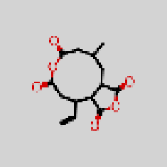 C=CC1CC(=O)OC(=O)CC(C)CC2C(=O)OC(=O)C12